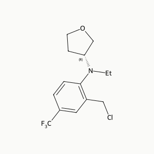 CCN(c1ccc(C(F)(F)F)cc1CCl)[C@@H]1CCOC1